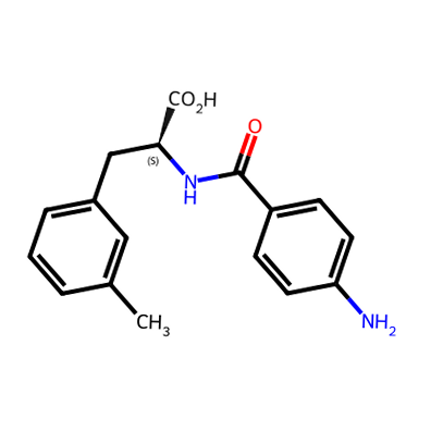 Cc1cccc(C[C@H](NC(=O)c2ccc(N)cc2)C(=O)O)c1